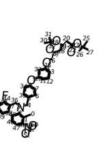 Cc1c(N(Cc2ccc(Oc3cccc(OC[C@@H]4C[C@H](CC(=O)OC(C)(C)C)OC(C)(C)O4)c3)cc2)Cc2ccc(F)cc2F)cccc1[N+](=O)[O-]